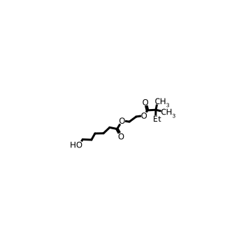 CCC(C)(C)C(=O)OCCOC(=O)CCCCCO